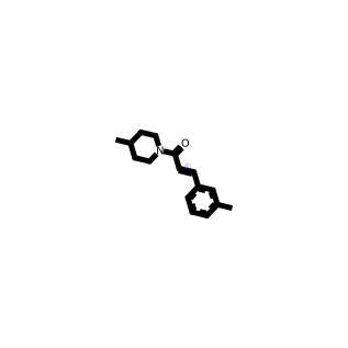 Cc1cccc(/C=C/C(=O)N2CCC(C)CC2)c1